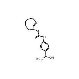 CCOC(=O)C(O)c1ccc(NC(=O)OC2/C=C/CCCCC2)cc1